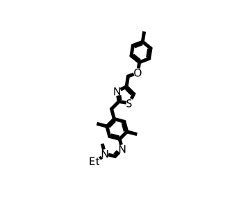 CCN(C)/C=N\c1cc(C)c(Cc2nc(COc3ccc(C)cc3)cs2)cc1C